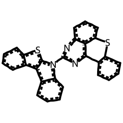 c1ccc2c(c1)Sc1cccc3nc(-n4c5ccccc5c5c6ccccc6sc54)nc-2c13